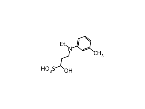 CCN(CCC(O)S(=O)(=O)O)c1cccc(C)c1